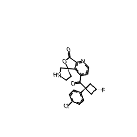 O=C1O[C@]2(CCNC2)c2c(C(=O)[C@]3(c4ccc(Cl)cc4)C[C@H](F)C3)ccnc21